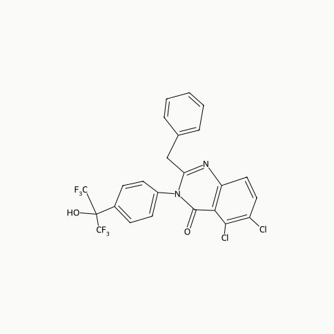 O=c1c2c(Cl)c(Cl)ccc2nc(Cc2ccccc2)n1-c1ccc(C(O)(C(F)(F)F)C(F)(F)F)cc1